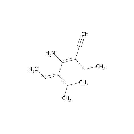 C#C/C(CC)=C(N)/C(=C\C)C(C)C